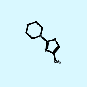 Cc1csc(N2CC[CH]CC2)n1